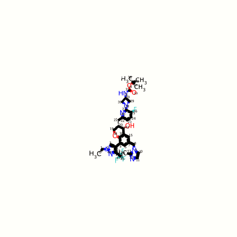 CCn1cc(-c2cc(Cn3ccnc3C)cc3c2OC[C@H](Cc2ccc(F)c(N4CC(NC(=O)OC(C)(C)C)C4)n2)[C@@H]3O)c(C(F)(F)F)n1